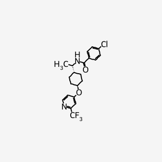 CC(NC(=O)c1ccc(Cl)cc1)[C@H]1CC[C@H](Oc2ccnc(C(F)(F)F)c2)CC1